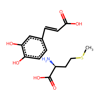 CSCC[C@H](N)C(=O)O.O=C(O)/C=C/c1ccc(O)c(O)c1